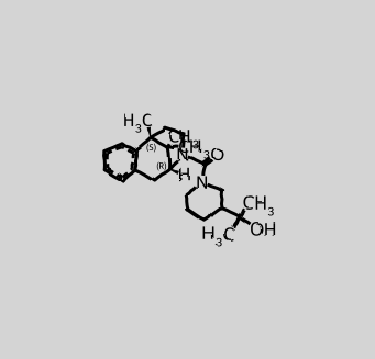 CC(C)(O)C1CCCN(C(=O)N2CC[C@@]3(C)c4ccccc4C[C@@H]2C3(C)C)C1